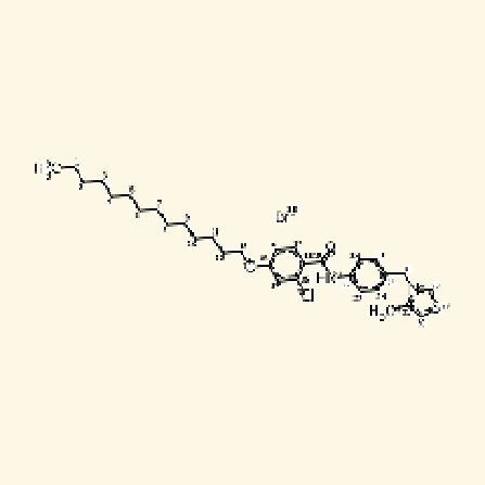 CCCCCCCCCCCCCCOc1ccc(C(=O)Nc2ccc(C[n+]3cscc3C)cc2)c(Cl)c1.[Br-]